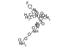 CC(C)(C)c1cc(-c2ccc(F)cc2)nn2cc(C(=O)N3CCN(C(=O)c4cn(CC(=O)NCCOCCOCCC(N)=O)nn4)CC3(C)C)nc12